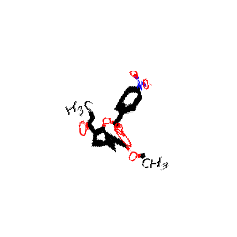 CCOC(=O)c1cccc(C(=O)CC)c1OC(=O)c1ccc([N+](=O)[O-])cc1